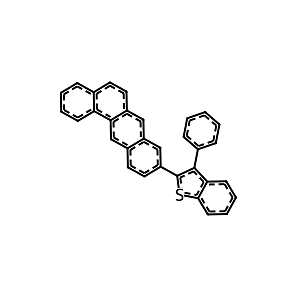 c1ccc(-c2c(-c3ccc4cc5c(ccc6ccccc65)cc4c3)sc3ccccc23)cc1